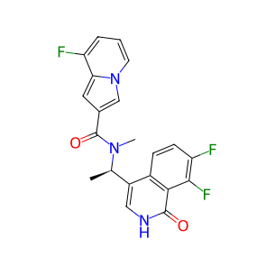 C[C@H](c1c[nH]c(=O)c2c(F)c(F)ccc12)N(C)C(=O)c1cc2c(F)cccn2c1